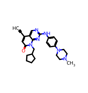 C#Cc1cc(=O)n(CC2CCCC2)c2nc(Nc3ccc(N4CCN(C)CC4)cc3)ncc12